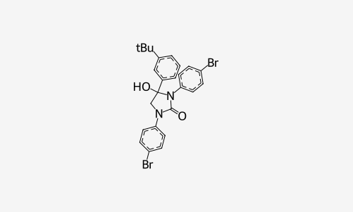 CC(C)(C)c1cccc(C2(O)CN(c3ccc(Br)cc3)C(=O)N2c2ccc(Br)cc2)c1